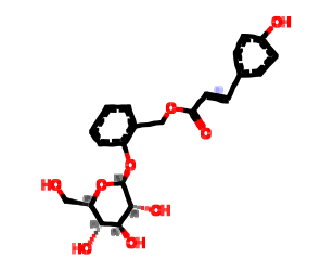 O=C(/C=C/c1ccc(O)cc1)OCc1ccccc1O[C@@H]1O[C@H](CO)[C@@H](O)[C@H](O)[C@H]1O